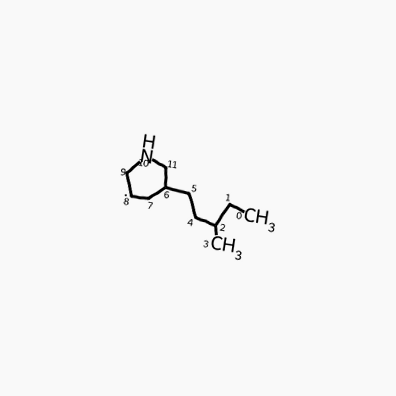 CCC(C)CCC1C[CH]CNC1